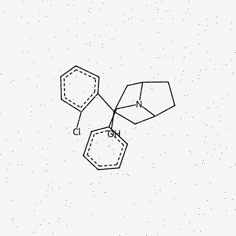 OC1(c2ccccc2Cl)CC2CCC(C1)N2Cc1ccccc1